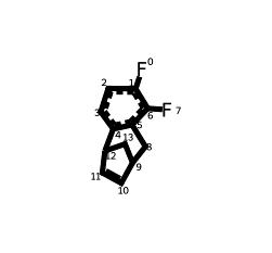 Fc1ccc2c(c1F)CC1C=CC2C1